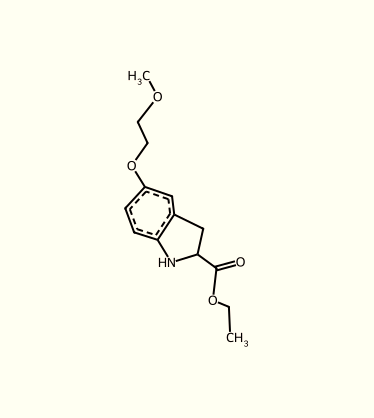 CCOC(=O)C1Cc2cc(OCCOC)ccc2N1